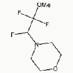 COC(F)(F)C(F)N1CCOCC1